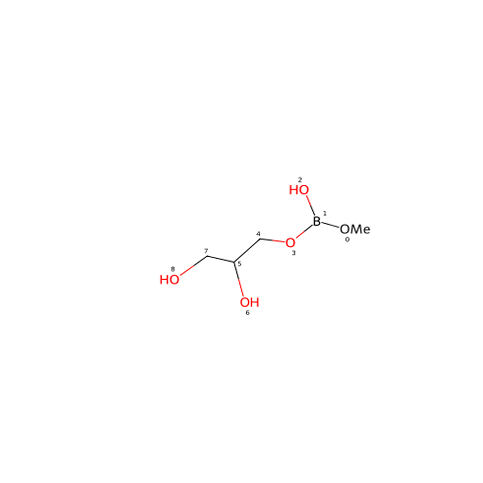 COB(O)OCC(O)CO